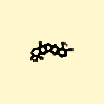 CCC1(O)C(=O)OCc2c1cc1n(c2=O)Cc2cc3c(C)c(O)ccc3nc2-1